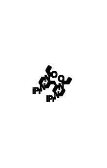 C=CC(=O)N1CCN(C(C)C)CC1C[C@@H]1CN(C(C)C)CCN1C(=O)C=C